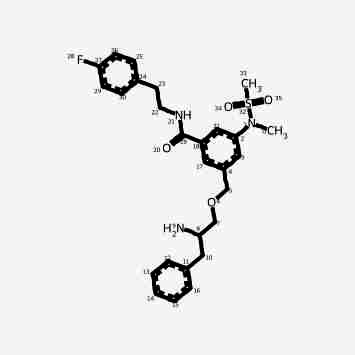 CN(c1cc(COCC(N)Cc2ccccc2)cc(C(=O)NCCc2ccc(F)cc2)c1)S(C)(=O)=O